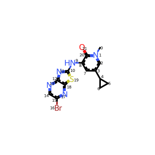 Cn1cc(C2CC2)cc(Nc2nc3ncc(Br)nc3s2)c1=O